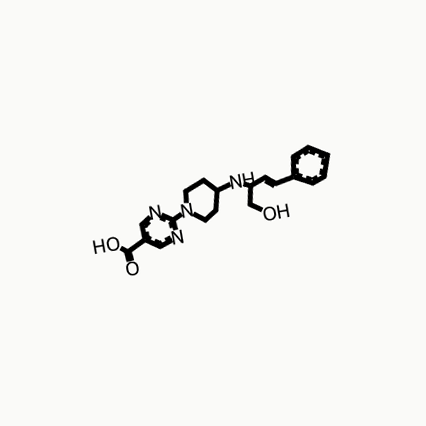 O=C(O)c1cnc(N2CCC(NC(/C=C/c3ccccc3)CO)CC2)nc1